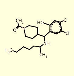 CCCCCC(C)NC(c1cc(Cl)c(Cl)cc1O)C1CCN(C(C)=O)CC1